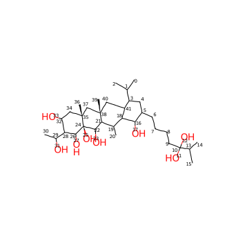 CC(C)C1CC(CCCCC(O)(O)C(C)C)C(O)C2C(C)C3C(O)[C@]4(O)C(O)C(C(C)O)C(O)C[C@]4(C)C[C@]3(C)CC12